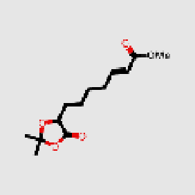 COC(=O)/C=C/CCCCC1OC(C)(C)OC1=O